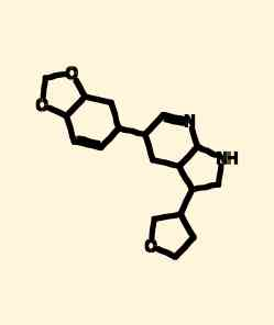 C1=CC2OCOC2CC1C1C=NC2NCC(C3CCOC3)C2C1